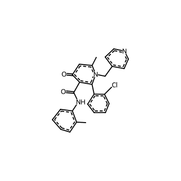 Cc1ccccc1NC(=O)c1c(-c2ccccc2Cl)n(Cc2ccncc2)c(C)cc1=O